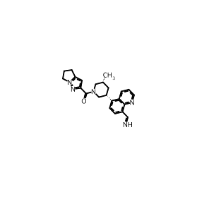 C[C@@H]1C[C@H](c2ccc(C=N)c3ncccc23)CN(C(=O)c2cc3n(n2)CCC3)C1